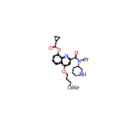 COCCCOc1cc(C(=O)N(C(C)C)[C@@H]2CCCNC2)nc2c(OC(=O)C3CC3)cccc12